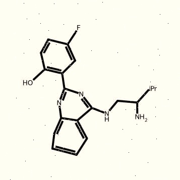 CC(C)C(N)CNc1nc(-c2cc(F)ccc2O)nc2ccccc12